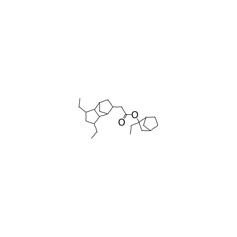 CCC1CC(CC)C2C3CC(CC3CC(=O)OC3(CC)CC4CCC3C4)C12